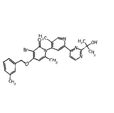 Cc1cccc(COc2cc(C)n(-c3cc(-c4ccnc(C(C)(C)O)n4)ncc3C)c(=O)c2Br)c1